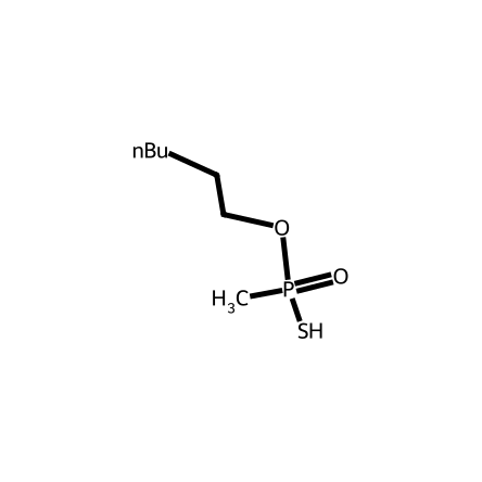 CCCCCCOP(C)(=O)S